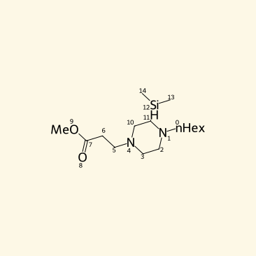 CCCCCCN1CCN(CCC(=O)OC)CC1[SiH](C)C